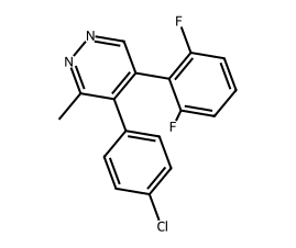 Cc1nncc(-c2c(F)cccc2F)c1-c1ccc(Cl)cc1